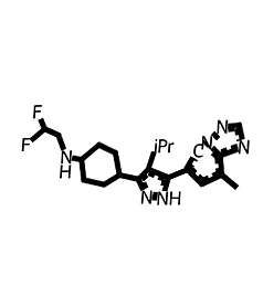 Cc1cc(-c2[nH]nc(C3CCC(NCC(F)F)CC3)c2C(C)C)cn2ncnc12